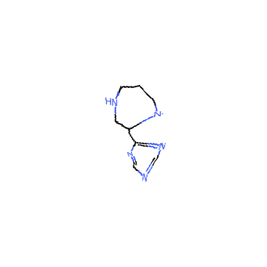 c1ncnc(C2CNCCC[N]2)n1